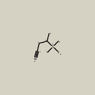 CC(CC#N)S(C)(C)F